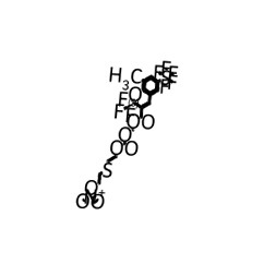 Cc1cc(S(F)(F)(F)(F)F)cc2c1O[C@H](C(F)(F)F)C(C(=O)OCOC(=O)OCCSCCO[N+](=O)[O-])=C2